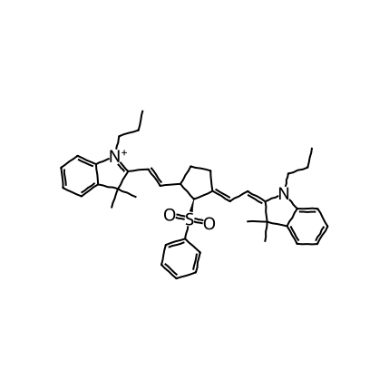 CCCN1/C(=C/C=C2\CCC(/C=C/C3=[N+](CCC)c4ccccc4C3(C)C)[C@@H]2S(=O)(=O)c2ccccc2)C(C)(C)c2ccccc21